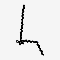 C=C1OC(=O)C1(CCCCCCCC/C=C\CCCCCCCC)CCCCCCCCCCCCCCCCCCCCCC